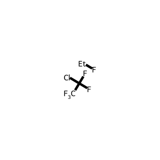 CCF.FC(F)(F)C(F)(F)Cl